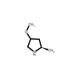 COC1CN[C@H](C)C1